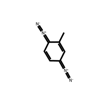 CC1=CC(=[N+]=[N-])C=CC1=[N+]=[N-]